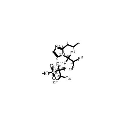 CCCc1nccn1C(F)(F)C(F)F.O=S(=O)(O)C(F)(F)C(F)F